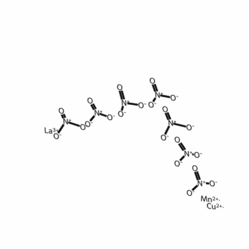 O=[N+]([O-])[O-].O=[N+]([O-])[O-].O=[N+]([O-])[O-].O=[N+]([O-])[O-].O=[N+]([O-])[O-].O=[N+]([O-])[O-].O=[N+]([O-])[O-].[Cu+2].[La+3].[Mn+2]